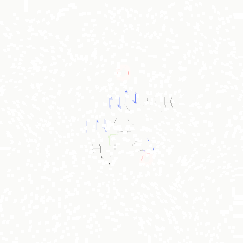 Cc1c(-c2cc3cc(N(C(=O)O)[C@@H]4CCOC4)ncc3c(N)c2F)cnc2c1[C@@H](C#N)CCO2